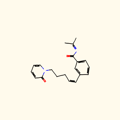 C/C(=N\C(=O)c1cccc(/C=C\CCCn2ccccc2=O)c1)C(=O)O